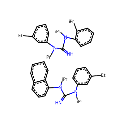 CCc1cccc(N(C(=N)N(c2cccc3ccccc23)C(C)C)C(C)C)c1.CCc1cccc(N(C(=N)N(c2ccccc2C(C)C)C(C)C)C(C)C)c1